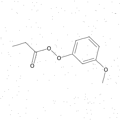 CCC(=O)OOc1cccc(OC)c1